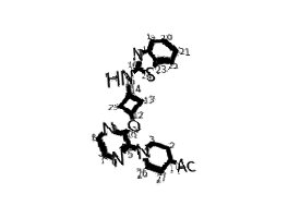 CC(=O)C1CCN(c2nccnc2OC2CC(Nc3nc4ccccc4s3)C2)CC1